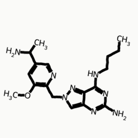 CCCCNc1nc(N)nc2cn(Cc3ncc(C(C)N)cc3OC)nc12